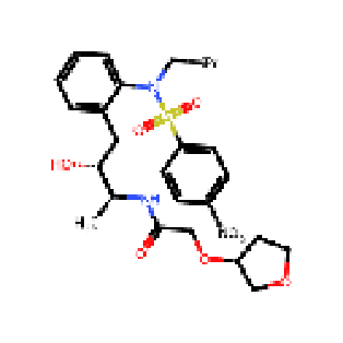 CC(C)CN(c1ccccc1C[C@@H](O)[C@H](C)NC(=O)CO[C@H]1CCOC1)S(=O)(=O)c1ccc([N+](=O)[O-])cc1